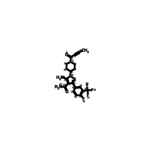 CC#CC(=O)N1CCC(n2nc(-c3ccc(F)c(C(F)(F)F)c3)c(C(N)=O)c2N)CC1